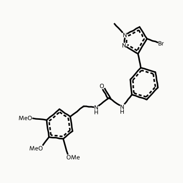 COc1cc(CNC(=O)Nc2cccc(-c3nn(C)cc3Br)c2)cc(OC)c1OC